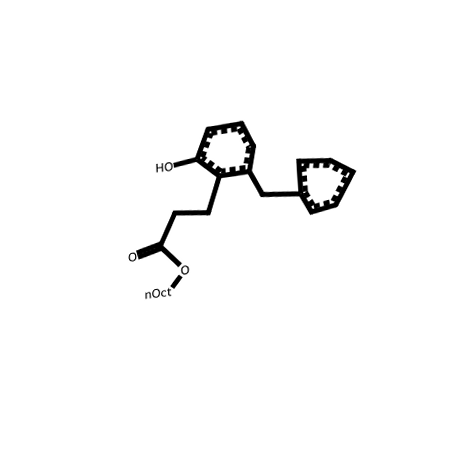 CCCCCCCCOC(=O)CCc1c(O)cccc1Cc1ccccc1